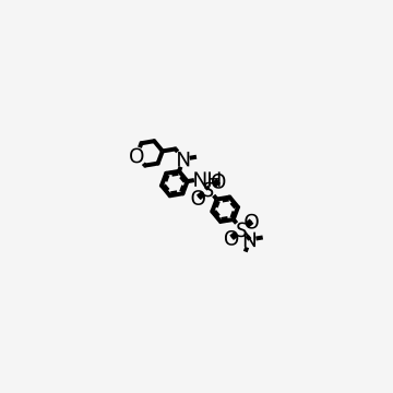 CN(CC1CCOCC1)c1ccccc1NS(=O)(=O)c1ccc(S(=O)(=O)N(C)C)cc1